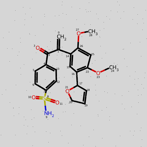 C=C(C(=O)c1ccc(S(N)(=O)=O)cc1)c1cc(C2C=CCO2)c(OC)cc1OC